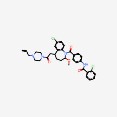 C=CCN1CCN(C(=O)CC2CCC(OC)N(C(=O)c3ccc(NC(=O)c4ccccc4Cl)cc3)c3ccc(Cl)cc32)CC1